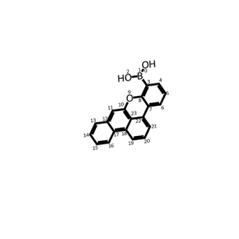 OB(O)c1cccc2c1Oc1cc3ccccc3c3cccc-2c13